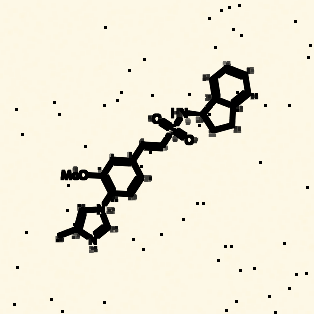 COc1cc(/C=C/S(=O)(=O)N[C@@H]2CCc3ccccc32)ccc1-n1cnc(C)c1